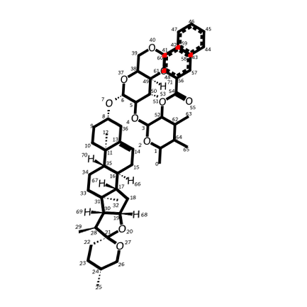 CC1OC(OC2[C@H](O[C@H]3CC[C@@]4(C)C(=CC[C@H]5[C@@H]6C[C@@H]7O[C@]8(CC[C@@H](C)CO8)[C@@H](C)[C@@H]7[C@@]6(C)CC[C@@H]54)C3)OC3COC(c4ccccc4)O[C@H]3[C@@H]2C)C(OC(=O)c2ccccc2)C(C)C1C